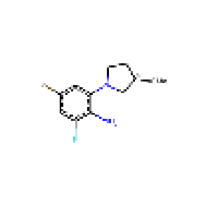 CO[C@@H]1CCN(c2cc(Br)cc(F)c2N)C1